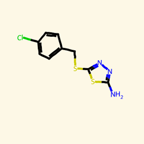 Nc1nnc(SCc2ccc(Cl)cc2)s1